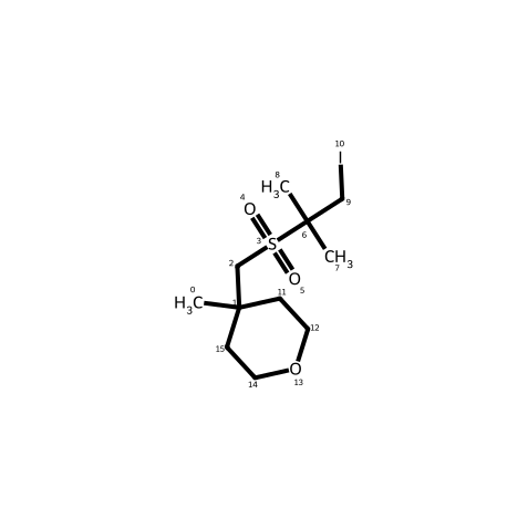 CC1(CS(=O)(=O)C(C)(C)CI)CCOCC1